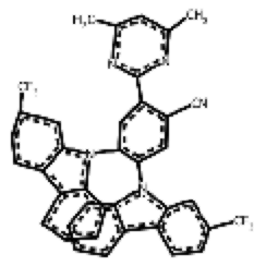 Cc1cc(C)nc(-c2cc(-n3c4ccccc4c4ccc(C(F)(F)F)cc43)c(-n3c4ccccc4c4ccc(C(F)(F)F)cc43)cc2C#N)n1